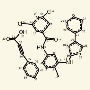 Cc1ccc(NC(=O)c2cc(Cl)nc(Cl)c2)cc1Nc1nc(-c2cccnc2)cs1.O=C(O)C#Cc1ccccc1